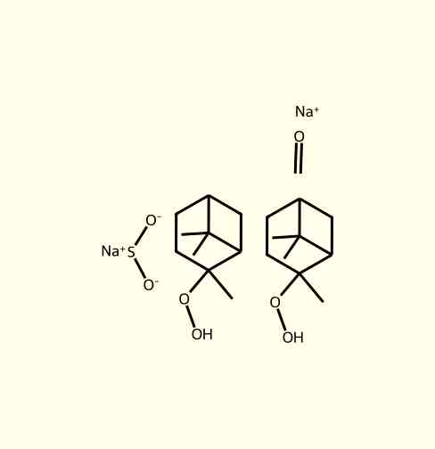 C=O.CC1(OO)CCC2CC1C2(C)C.CC1(OO)CCC2CC1C2(C)C.[Na+].[Na+].[O-]S[O-]